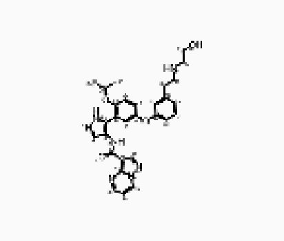 O=C(Nc1cn[nH]c1-c1cc(Oc2cccc(CCNCCO)c2)ccc1OC(F)F)c1cnn2cccnc12